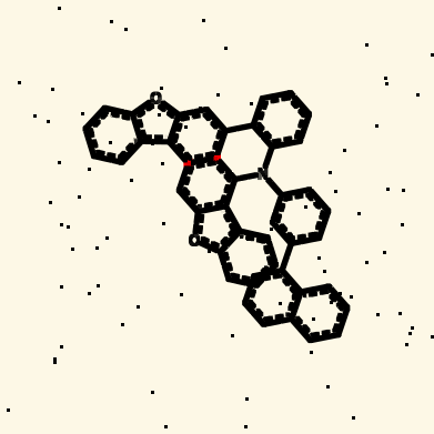 c1cc(-c2cccc3ccccc23)cc(N(c2ccccc2-c2ccc3c(c2)oc2ccccc23)c2cccc3oc4ccccc4c23)c1